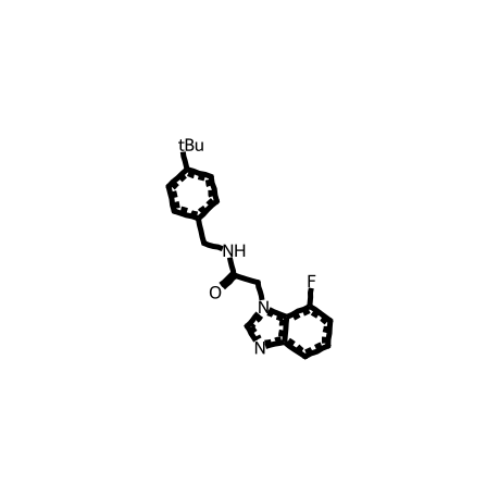 CC(C)(C)c1ccc(CNC(=O)Cn2cnc3cccc(F)c32)cc1